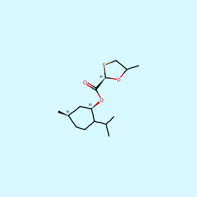 CC1CS[C@H](C(=O)O[C@@H]2C[C@H](C)CCC2C(C)C)O1